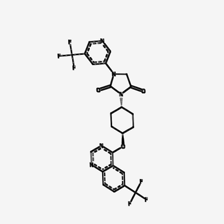 O=C1CN(c2cncc(C(F)(F)F)c2)C(=O)N1[C@H]1CC[C@H](Oc2ncnc3ccc(C(F)(F)F)cc23)CC1